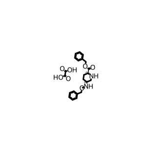 O=C(O)C(=O)O.O=C(OCc1ccccc1)[C@@H]1CC[C@@H](NOCc2ccccc2)CN1